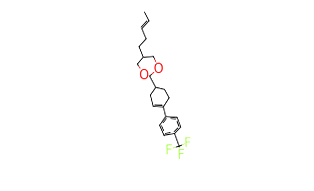 C/C=C/CCC1COC(C2CC=C(c3ccc(C(F)(F)F)cc3)CC2)OC1